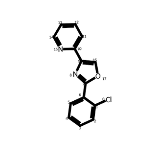 Clc1ccccc1-c1nc(-c2ccccn2)co1